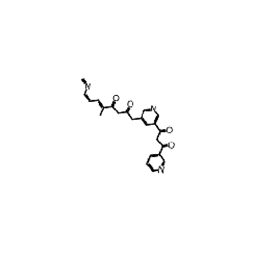 C=N/C=C\C=C(/C)C(=O)CC(=O)Cc1cncc(C(=O)CC(=O)c2cccnc2)c1